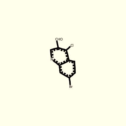 O=Cc1cnc2cc(Br)ccc2c1Cl